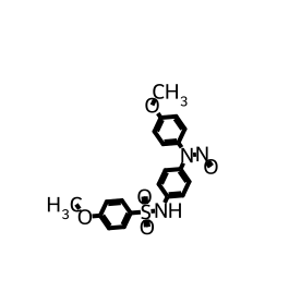 COc1ccc(N(N=O)c2ccc(NS(=O)(=O)c3ccc(OC)cc3)cc2)cc1